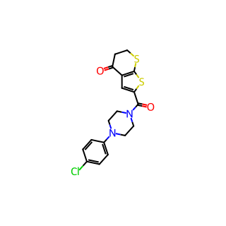 O=C1CCSc2sc(C(=O)N3CCN(c4ccc(Cl)cc4)CC3)cc21